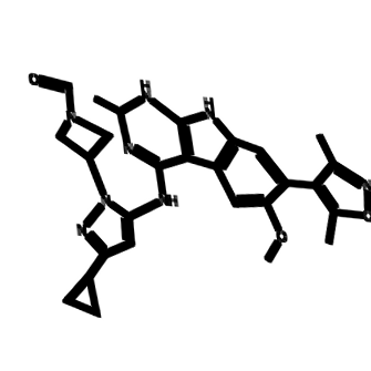 COc1cc2c3c([nH]c2cc1-c1c(C)noc1C)NC(C)N=C3Nc1cc(C2CC2)nn1C1CN(C=O)C1